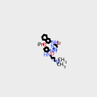 CC(C)Oc1ccc(NC(=O)/C=C/CN(C)C)c(Nc2ncc(Br)c(Nc3ccc4ccccc4c3)n2)c1